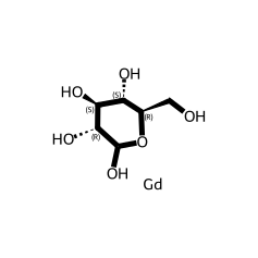 OC[C@H]1OC(O)[C@H](O)[C@@H](O)[C@@H]1O.[Gd]